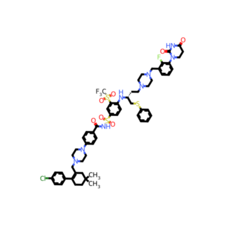 CC1(C)CCC(c2ccc(Cl)cc2)=C(CN2CCN(c3ccc(C(=O)NS(=O)(=O)c4ccc(N[C@H](CCN5CCN(Cc6cccc(N7CCC(=O)NC7=O)c6F)CC5)CSc5ccccc5)c(S(=O)(=O)C(F)(F)F)c4)cc3)CC2)C1